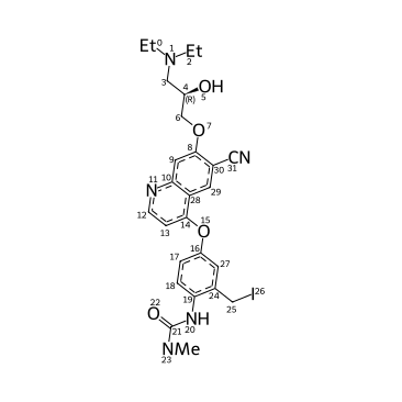 CCN(CC)C[C@@H](O)COc1cc2nccc(Oc3ccc(NC(=O)NC)c(CI)c3)c2cc1C#N